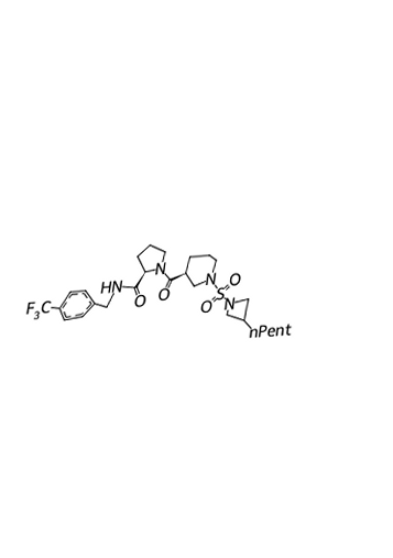 CCCCCC1CN(S(=O)(=O)N2CCC[C@H](C(=O)N3CCC[C@@H]3C(=O)NCc3ccc(C(F)(F)F)cc3)C2)C1